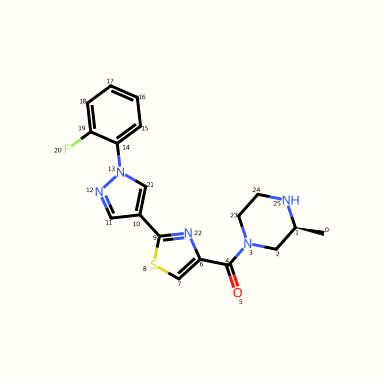 C[C@H]1CN(C(=O)c2csc(-c3cnn(-c4ccccc4F)c3)n2)CCN1